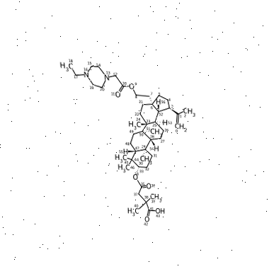 C=C(C)[C@@H]1CC[C@]2(CCOC(=O)CN3CCN(CC)CC3)CC[C@]3(C)[C@H](CC[C@@H]4[C@@]5(C)CC[C@H](OC(=O)CC(C)(C)C(=O)O)C(C)(C)[C@@H]5CC[C@]43C)[C@@H]12